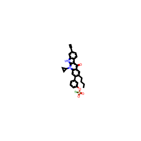 C#Cc1ccc2c(c1)[nH]c1c2c(=O)c2cc(CCCC)c(-c3cccc(OS(=O)(=O)F)c3)cc2n1C1CC1